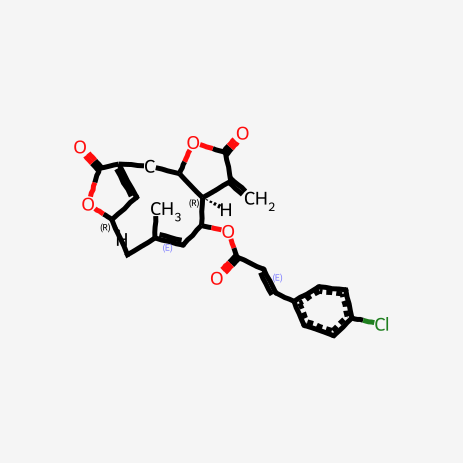 C=C1C(=O)OC2CC3=C[C@@H](C/C(C)=C/C(OC(=O)/C=C/c4ccc(Cl)cc4)[C@H]12)OC3=O